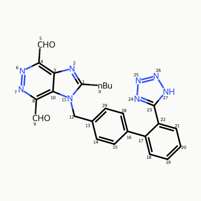 CCCCc1nc2c(C=O)nnc(C=O)c2n1Cc1ccc(-c2ccccc2-c2nnn[nH]2)cc1